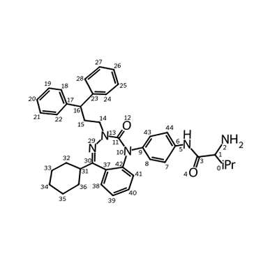 CC(C)C(N)C(=O)Nc1ccc(N2C(=O)N(CCC(c3ccccc3)c3ccccc3)N=C(C3CCCCC3)c3ccccc32)cc1